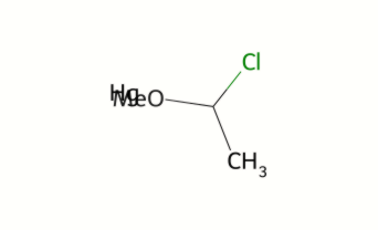 COC(C)Cl.[Hg]